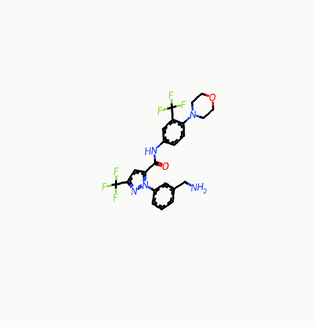 NCc1cccc(-n2nc(C(F)(F)F)cc2C(=O)Nc2ccc(N3CCOCC3)c(C(F)(F)F)c2)c1